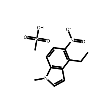 CCc1c([N+](=O)[O-])ccc2c1ccn2C.CS(=O)(=O)O